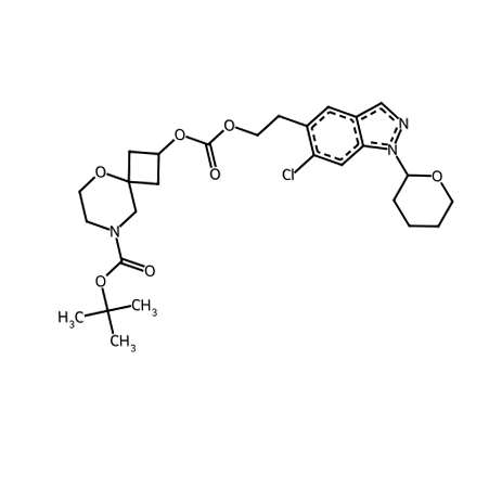 CC(C)(C)OC(=O)N1CCOC2(CC(OC(=O)OCCc3cc4cnn(C5CCCCO5)c4cc3Cl)C2)C1